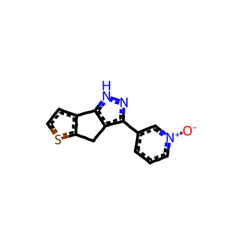 [O-][n+]1cccc(-c2n[nH]c3c2Cc2sccc2-3)c1